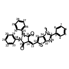 Cn1c(-c2ccccc2)nc2sc(C=C3C(=O)N(c4ccccc4)N(c4ccccc4)C3=O)cc21